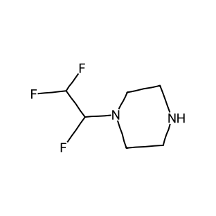 FC(F)C(F)N1CCNCC1